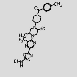 CCNc1nnc(-c2cnc(N3CC(CC)N(C4CCN(C(=O)c5ccc(C)cc5)CC4)CC3C)c(C(F)(F)F)n2)o1